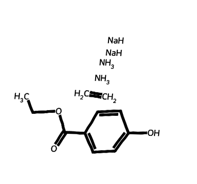 C=C.CCOC(=O)c1ccc(O)cc1.N.N.[NaH].[NaH]